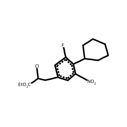 CCOC(=O)C(Cl)Cc1cc(F)c(C2CCCCC2)c([N+](=O)[O-])c1